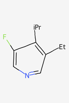 CCc1cncc(F)c1C(C)C